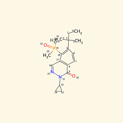 CCC(C)(C)c1ccc2c(=O)n(C3CC3)ncc2c1P(C)(C)=O